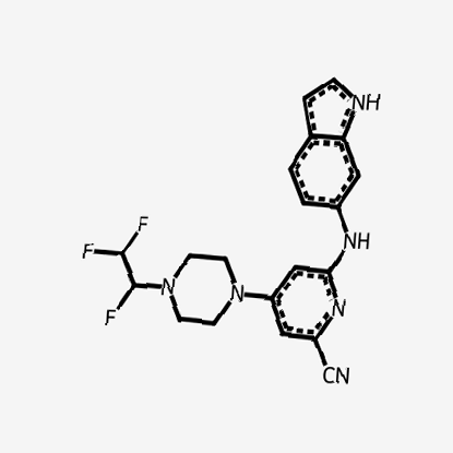 N#Cc1cc(N2CCN(C(F)C(F)F)CC2)cc(Nc2ccc3cc[nH]c3c2)n1